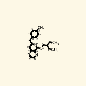 CCC(CC)COc1nc(Cc2ccc(C)cc2)cc2nccnc12